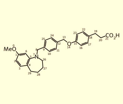 COc1ccc2c(c1)N(Cc1ccc(COc3ccc(CCC(=O)O)cc3)cc1)CCCC2